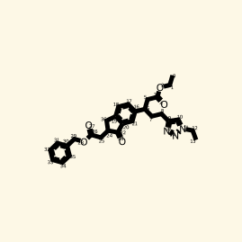 CCOC(=O)CC(CCc1cn(CC)nn1)c1ccc2c(c1)C(=O)C(CC(=O)OCc1ccccc1)C2